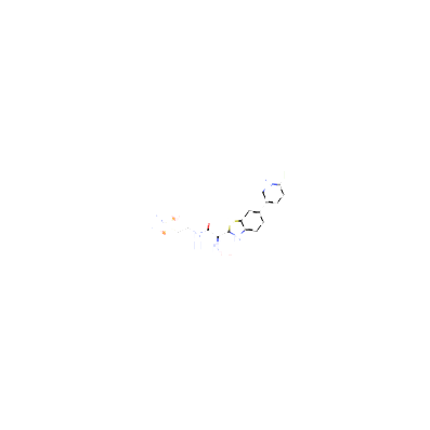 NS(=O)(=O)CCNC(=O)/C(=N/O)c1nc2ccc(-c3ccc(F)nc3)cc2s1